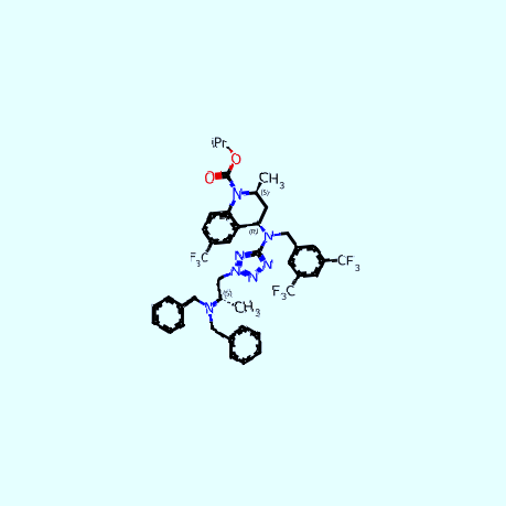 CC(C)OC(=O)N1c2ccc(C(F)(F)F)cc2[C@H](N(Cc2cc(C(F)(F)F)cc(C(F)(F)F)c2)c2nnn(C[C@H](C)N(Cc3ccccc3)Cc3ccccc3)n2)C[C@@H]1C